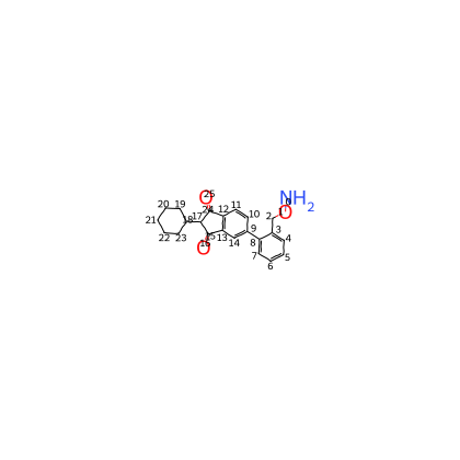 NOCc1ccccc1-c1ccc2c(c1)C(=O)C(C1CCCCC1)C2=O